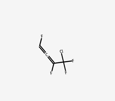 FC=C=C(F)C(F)(F)Cl